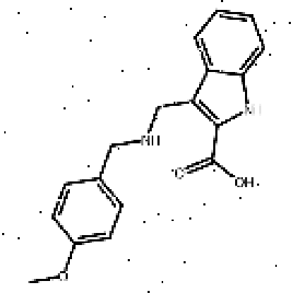 COc1ccc(CNCc2c(C(=O)O)[nH]c3ccccc23)cc1